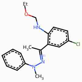 CCOCNc1ccc(Cl)cc1/C(C)=N/N(C)c1ccccc1